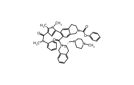 Cc1c(C(=O)N(C)c2ccccc2)cc(-c2cc3c(cc2C(=O)N2Cc4ccccc4C[C@H]2CN2CCN(C)CC2)CN(C(=O)Oc2ccccc2)CC3)n1C